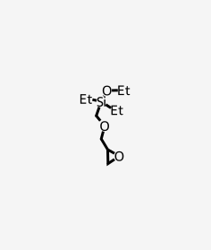 CCO[Si](CC)(CC)COCC1CO1